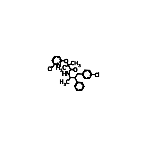 CC(NC(=O)C(C)(C)Oc1cccc(Cl)n1)C(Cc1ccc(Cl)cc1)c1ccccc1